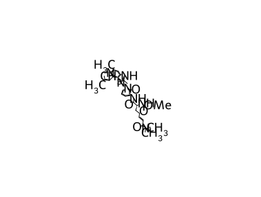 COC(=O)N[C@@H](CC/C=C/C(=O)N(C)C)C(=O)Nc1cccn(Cc2nc3c(C=C(C)C)nc(C)cc3[nH]2)c1=O